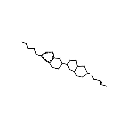 CC=CCOC1CCC2CC(C3CCc4cc(CCCCC)ccc4C3)CCC2C1